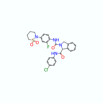 O=C(Nc1ccc(Cl)cc1)C1c2ccccc2CN1C(=O)Nc1ccc(N2CCCCS2(=O)=O)cc1F